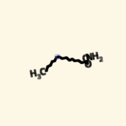 CCCCCC/C=C\CCCCCCCC(=O)ON